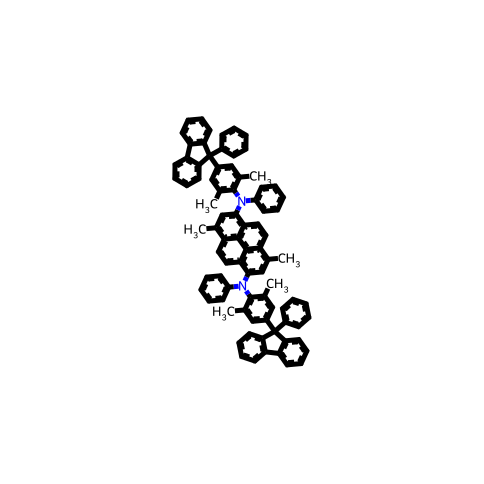 Cc1cc(C2(c3ccccc3)c3ccccc3-c3ccccc32)cc(C)c1N(c1ccccc1)c1cc(C)c2ccc3c(N(c4ccccc4)c4c(C)cc(C5(c6ccccc6)c6ccccc6-c6ccccc65)cc4C)cc(C)c4ccc1c2c43